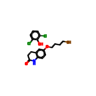 O=C1CCc2cc(OCCCCS)ccc2N1.Oc1c(Cl)cccc1Cl